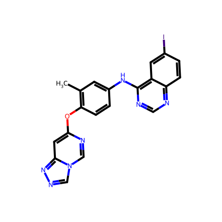 Cc1cc(Nc2ncnc3ccc(I)cc23)ccc1Oc1cc2nncn2cn1